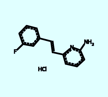 Cl.Nc1cccc(C=Cc2cccc(F)c2)n1